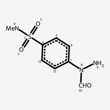 CNS(=O)(=O)c1ccc(N(N)C=O)cc1